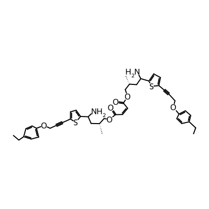 CCc1ccc(OCC#Cc2ccc(C(N)C[C@@H](C)COC(=O)/C=C\C(=O)OC[C@H](C)CC(N)c3ccc(C#CCOc4ccc(CC)cc4)s3)s2)cc1